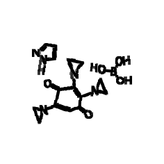 O=C1C=C(N2CC2)C(=O)C(N2CC2)=C1N1CC1.OB(O)O.c1cn[nH]c1